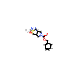 CS1(N)(=O)CC2CN(C(=O)OCc3ccccc3)CC2C1